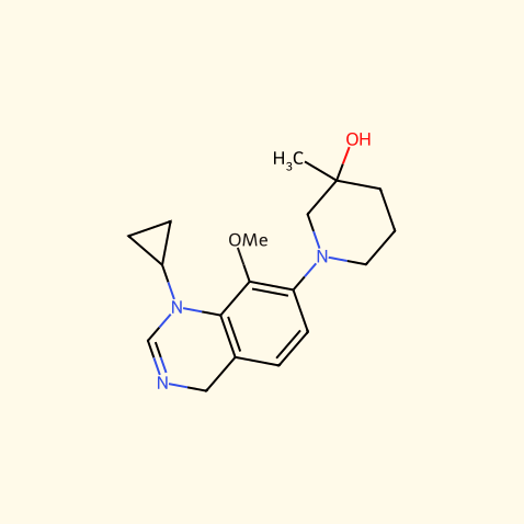 COc1c(N2CCCC(C)(O)C2)ccc2c1N(C1CC1)C=NC2